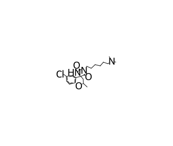 CC1CC2(NC(=O)N(CCCCCCN(C)C)C2=O)c2cc(Cl)ccc2O1